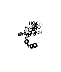 CSc1c2sc(C3=C(C(=O)O)N4C(=O)[C@H]([C@@H](C)O)[C@@H]4[C@H]3C)c[n+]2cn1Cc1ccc(C[n+]2ccc3ccccc3c2)cc1.[Br-].[Br-]